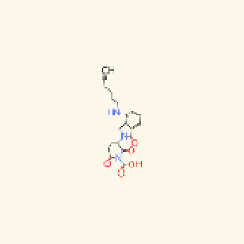 C#CCCCCNc1cccc2c1CN(C1CCC(=O)N(C(=O)O)C1=O)C2=O